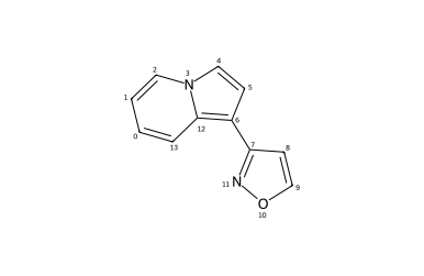 c1ccn2ccc(-c3ccon3)c2c1